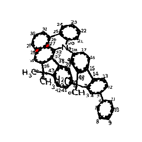 CC1(C)c2cc(-c3ccccc3)ccc2-c2ccc(N(c3ccccc3-c3ccccc3)c3cccc4c3-c3ccccc3C4(C)C)cc21